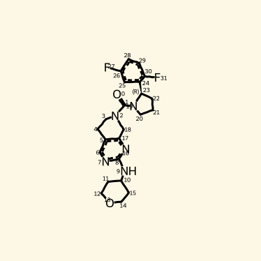 O=C(N1CCc2cnc(NC3CCOCC3)nc2C1)N1CCC[C@@H]1c1cc(F)ccc1F